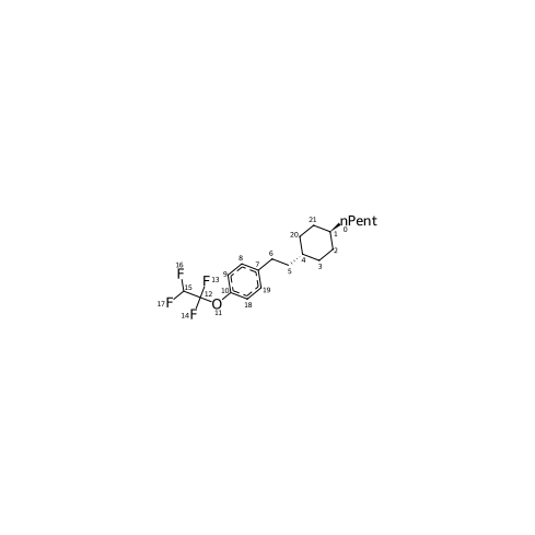 CCCCC[C@H]1CC[C@H](CCc2ccc(OC(F)(F)C(F)F)cc2)CC1